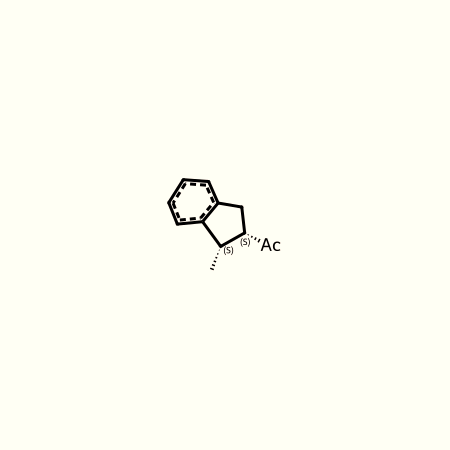 CC(=O)[C@H]1Cc2ccccc2[C@H]1C